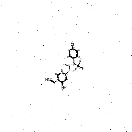 CN(Sc1cc(=N)n(C=N)cn1)[C@H](c1ccc(Cl)cc1)C(F)(F)F